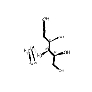 CC(C)=O.CC(C)=O.OC[C@@H](O)[C@H](O)[C@@H](O)CO